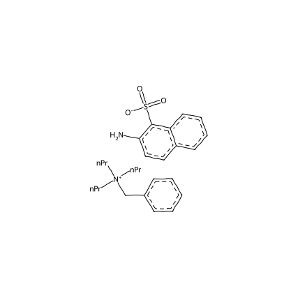 CCC[N+](CCC)(CCC)Cc1ccccc1.Nc1ccc2ccccc2c1S(=O)(=O)[O-]